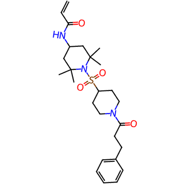 C=CC(=O)NC1CC(C)(C)N(S(=O)(=O)C2CCN(C(=O)CCc3ccccc3)CC2)C(C)(C)C1